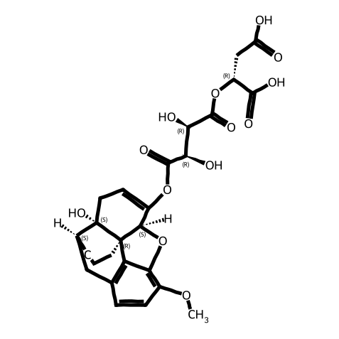 COc1ccc2c3c1O[C@@H]1C(OC(=O)[C@H](O)[C@@H](O)C(=O)O[C@H](CC(=O)O)C(=O)O)=CC[C@]4(O)[C@@H](CCC[C@@]314)C2